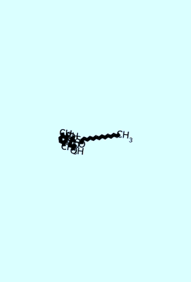 CCCCCCCCCCCCCC(=O)SCC(=O)N(CC(=O)O)c1c(C)ccc(C)c1C